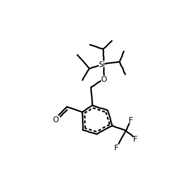 CC(C)[Si](OCc1cc(C(F)(F)F)ccc1C=O)(C(C)C)C(C)C